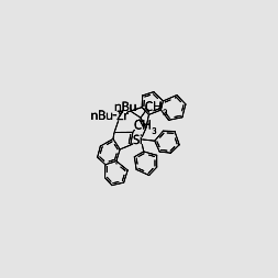 CCC[CH2][Zr]1([CH2]CCC)[CH]2C(C)=C(c3c2ccc2ccccc32)[Si](c2ccccc2)(c2ccccc2)C2=C(C)[CH]1c1ccc3ccccc3c12